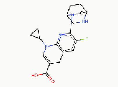 O=C(O)C1=CN(C2CC2)c2nc(N3CC4CCC3CN4)c(F)cc2C1